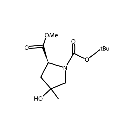 COC(=O)[C@@H]1CC(C)(O)CN1C(=O)OC(C)(C)C